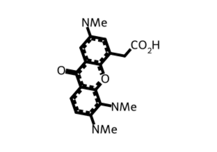 CNc1cc(CC(=O)O)c2oc3c(NC)c(NC)ccc3c(=O)c2c1